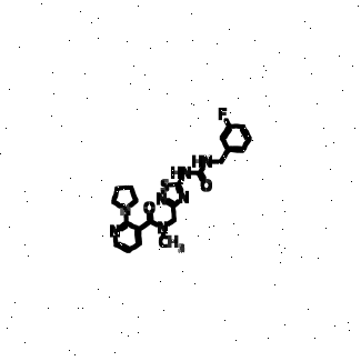 CN(Cc1nsc(NC(=O)NCc2cccc(F)c2)n1)C(=O)c1cccnc1N1CCCC1